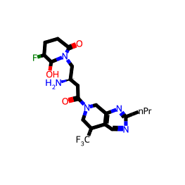 CCCc1ncc2c(n1)CN(C(=O)C[C@@H](N)CN1C(=O)CCC(F)C1O)CC2C(F)(F)F